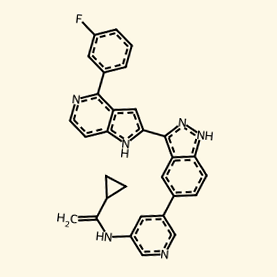 C=C(Nc1cncc(-c2ccc3[nH]nc(-c4cc5c(-c6cccc(F)c6)nccc5[nH]4)c3c2)c1)C1CC1